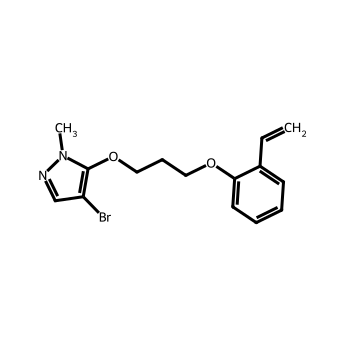 C=Cc1ccccc1OCCCOc1c(Br)cnn1C